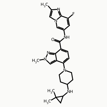 Cc1cn2cc(NC(=O)c3ccc(N4CCC(NC5CC5(C)C)CC4)c4cn(C)nc34)cc(F)c2n1